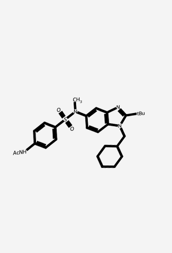 CC(=O)Nc1ccc(S(=O)(=O)N(C)c2ccc3c(c2)nc(C(C)(C)C)n3CC2CCCCC2)cc1